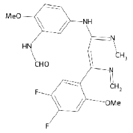 C=N/C(=C\C(=N/C)Nc1ccc(OC)c(NC=O)c1)c1cc(F)c(F)cc1OC